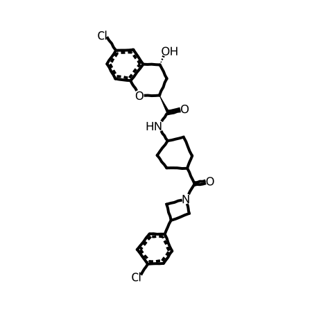 O=C(NC1CCC(C(=O)N2CC(c3ccc(Cl)cc3)C2)CC1)[C@@H]1C[C@@H](O)c2cc(Cl)ccc2O1